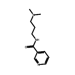 CN(C)CCCNC(=O)c1c[c]cnc1